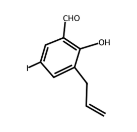 C=CCc1cc(I)cc(C=O)c1O